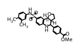 COC(=O)c1ccc(C2Nc3ccc(S(=O)(=O)Nc4ccc(C)c(C)c4)cc3[C@H]3OCC[C@@H]23)cc1